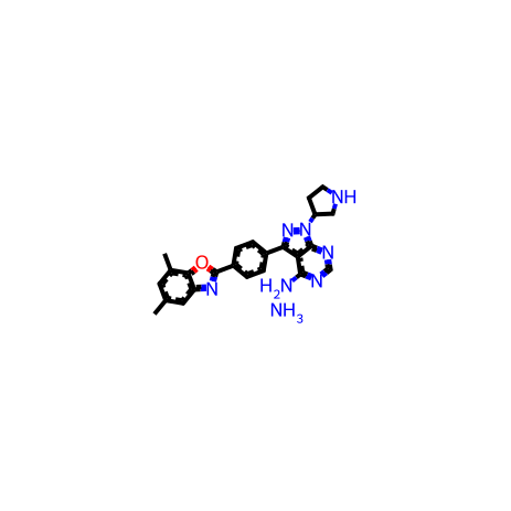 Cc1cc(C)c2oc(-c3ccc(-c4nn(C5CCNC5)c5ncnc(N)c45)cc3)nc2c1.N